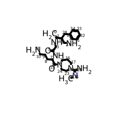 C=C(NCC(=O)NC(CCCN)C(=O)N1CCCN(/C(N)=N\C)CC1)C(CN)Cc1ccccc1